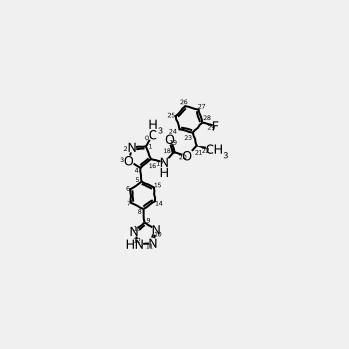 Cc1noc(-c2ccc(-c3nn[nH]n3)cc2)c1NC(=O)O[C@H](C)c1ccccc1F